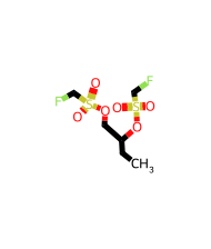 CCC(COS(=O)(=O)CF)OS(=O)(=O)CF